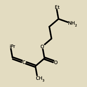 CCC(N)CCOC(=O)C(C)=C=CC(C)C